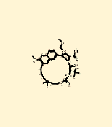 COCO[C@@]12C[C@@H](C(=O)O)N(C1)C(=O)[C@H](C(C)(C)C)NC(=O)OCCC(C)(C)CCCc1cc3cc2ccc3cc1OC